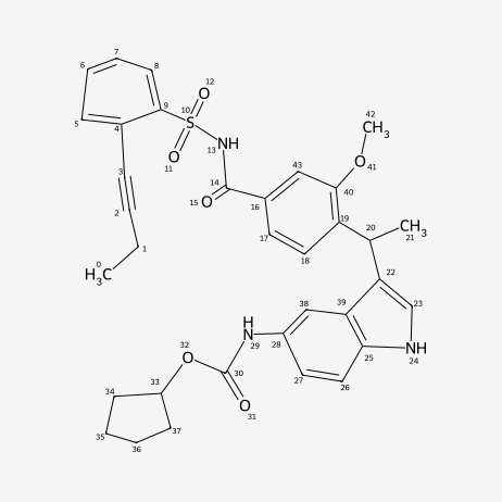 CCC#Cc1ccccc1S(=O)(=O)NC(=O)c1ccc(C(C)c2c[nH]c3ccc(NC(=O)OC4CCCC4)cc23)c(OC)c1